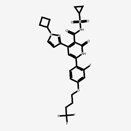 O=C(NS(=O)(=O)C1CC1)c1c(-c2ccn(C3CCC3)n2)cc(-c2ccc(OCCCC(F)(F)F)cc2F)[nH]c1=O